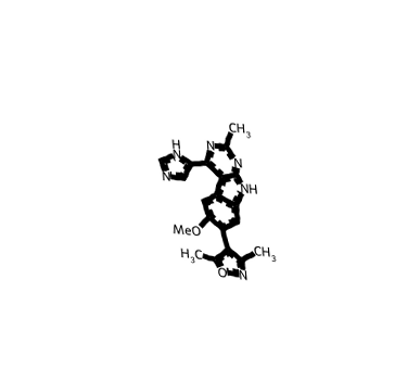 COc1cc2c(cc1-c1c(C)noc1C)[nH]c1nc(C)nc(-c3cnc[nH]3)c12